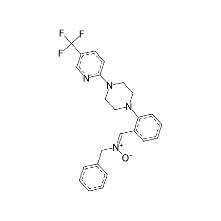 [O-][N+](=Cc1ccccc1N1CCN(c2ccc(C(F)(F)F)cn2)CC1)Cc1ccccc1